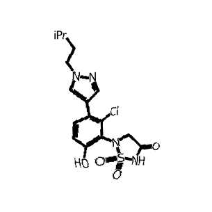 CC(C)CCn1cc(-c2ccc(O)c(N3CC(=O)NS3(=O)=O)c2Cl)cn1